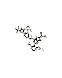 COc1ncnc(C2CC2)c1-c1nc(NCc2ccc(-c3nc(C(F)(F)F)cn3C(C)C)cc2)c2[nH]c(C(N)=O)nc2n1